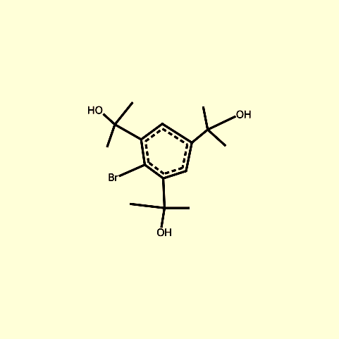 CC(C)(O)c1cc(C(C)(C)O)c(Br)c(C(C)(C)O)c1